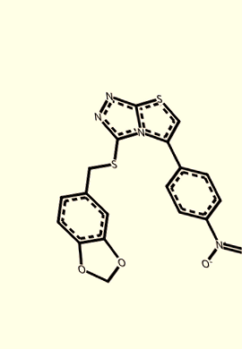 O=[N+]([O-])c1ccc(-c2csc3nnc(SCc4ccc5c(c4)OCO5)n23)cc1